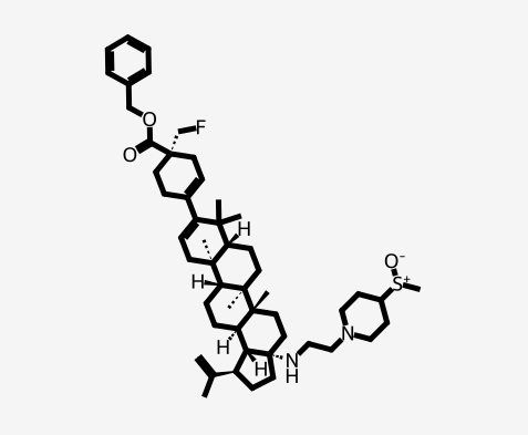 C=C(C)[C@@H]1CC[C@]2(NCCN3CCC([S+](C)[O-])CC3)CC[C@]3(C)[C@H](CC[C@@H]4[C@@]5(C)CC=C(C6=CC[C@](CF)(C(=O)OCc7ccccc7)CC6)C(C)(C)[C@@H]5CC[C@]43C)[C@@H]12